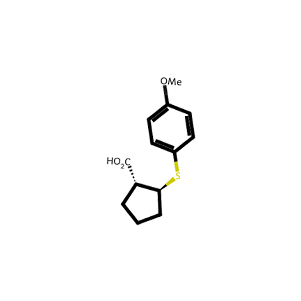 COc1ccc(S[C@H]2CCC[C@@H]2C(=O)O)cc1